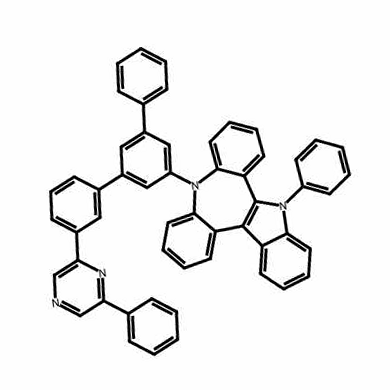 c1ccc(-c2cc(-c3cccc(-c4cncc(-c5ccccc5)n4)c3)cc(N3c4ccccc4-c4c(n(-c5ccccc5)c5ccccc45)-c4ccccc43)c2)cc1